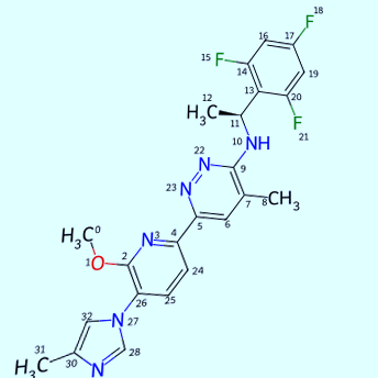 COc1nc(-c2cc(C)c(N[C@@H](C)c3c(F)cc(F)cc3F)nn2)ccc1-n1cnc(C)c1